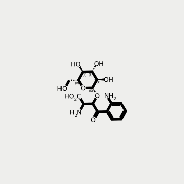 Nc1ccccc1C(=O)C(O[C@@H]1O[C@H](CO)[C@@H](O)[C@H](O)[C@H]1O)C(N)C(=O)O